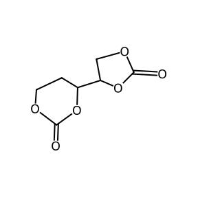 O=C1OCCC(C2COC(=O)O2)O1